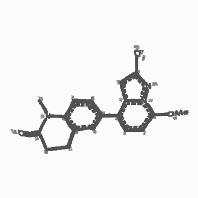 COc1ccc(-c2ccc3c(c2)CCC(=O)N3C)c2cc(C(F)(F)F)nn12